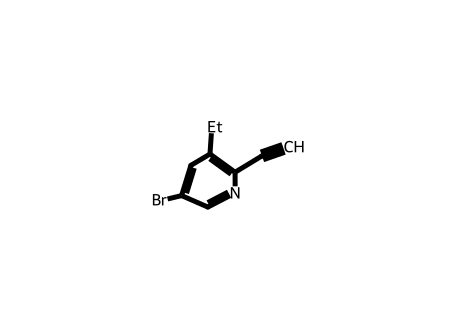 C#Cc1ncc(Br)cc1CC